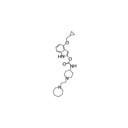 O=C(NC1CCN(CCN2CCCCCC2)CC1)Oc1cc2c(OCC3CC3)cccc2[nH]1